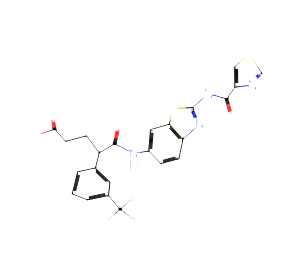 O=C(O)CCC(C(=O)Nc1ccc2nc(NC(=O)c3cscn3)sc2c1)c1cccc(C(F)(F)F)c1